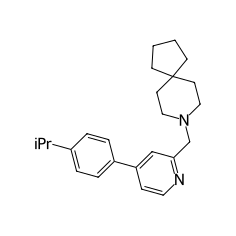 CC(C)c1ccc(-c2ccnc(CN3CCC4(CCCC4)CC3)c2)cc1